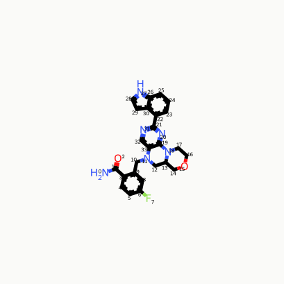 NC(=O)c1ccc(F)cc1CN1CC2COCCN2c2nc(-c3cccc4[nH]ccc34)ncc21